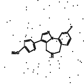 COc1ccc(-c2cnn3c2CNCc2ccc(F)cc2-3)cc1